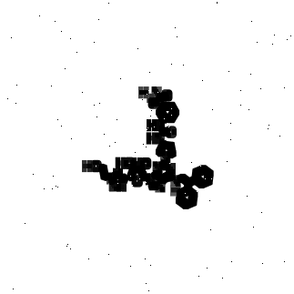 NS(=O)(=O)c1cccc(NC(=O)NC2CCN(c3nc(NCC(c4ccccc4)c4ccccc4)c4ncn([C@@H]5O[C@H](c6nnn(CCO)n6)[C@@H](O)[C@H]5O)c4n3)C2)c1